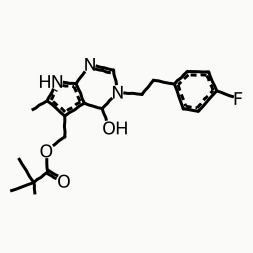 Cc1[nH]c2c(c1COC(=O)C(C)(C)C)C(O)N(CCc1ccc(F)cc1)C=N2